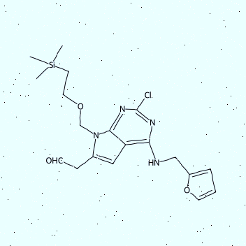 C[Si](C)(C)CCOCn1c(CC=O)cc2c(NCc3ccco3)nc(Cl)nc21